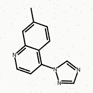 Cc1ccc2c(-n3cncn3)ccnc2c1